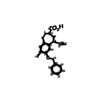 CC(C)(C)C1CN(C(=O)O)CCc2cc(I)c(OCc3ccccc3)cc21